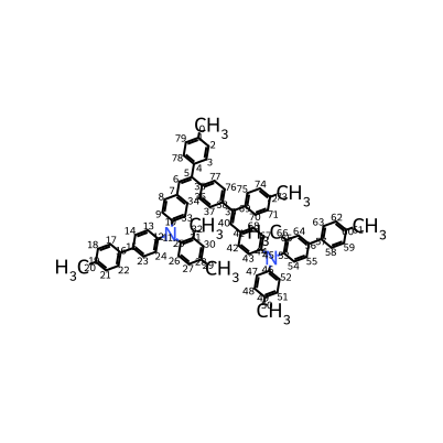 Cc1ccc(C(=Cc2ccc(N(c3ccc(-c4ccc(C)cc4)cc3)c3ccc(C)cc3C)cc2)c2ccc(C(=Cc3ccc(N(c4ccc(C)cc4)c4ccc(-c5ccc(C)cc5)cc4C)cc3)c3ccc(C)cc3)cc2)cc1